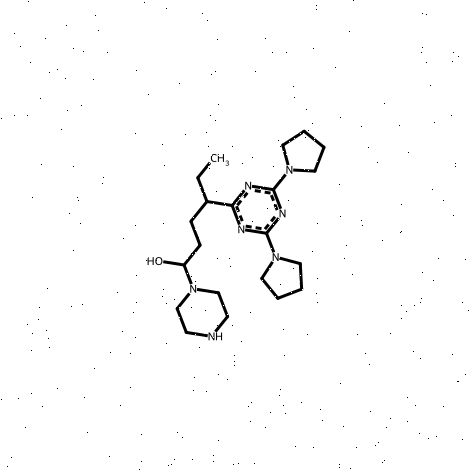 CCC(CCC(O)N1CCNCC1)c1nc(N2CCCC2)nc(N2CCCC2)n1